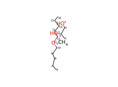 C.CC(O)CO.CCCCCOCCCCC